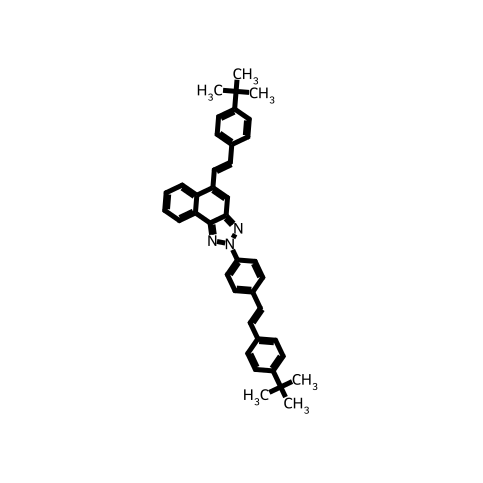 CC(C)(C)c1ccc(/C=C/c2ccc(-n3nc4cc(/C=C/c5ccc(C(C)(C)C)cc5)c5ccccc5c4n3)cc2)cc1